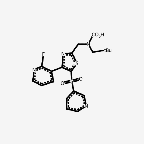 CC(C)(C)CN(Cc1nc(-c2cccnc2F)c(S(=O)(=O)c2cccnc2)s1)C(=O)O